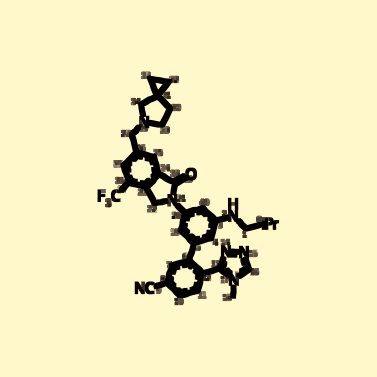 CC(C)CNc1cc(-c2cc(C#N)ccc2-c2nncn2C)cc(N2Cc3c(cc(CN4CCC5(CC5)C4)cc3C(F)(F)F)C2=O)c1